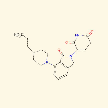 O=C(O)CCC1CCN(c2cccc3c2C(=O)N(C2CCC(=O)NC2=O)C3)CC1